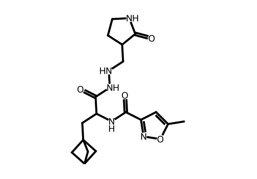 Cc1cc(C(=O)NC(CC23CC(C2)C3)C(=O)NNCC2CCNC2=O)no1